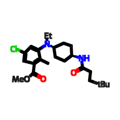 CCN(c1cc(Cl)cc(C(=O)OC)c1C)[C@H]1CC[C@H](NC(=O)CCC(C)(C)C)CC1